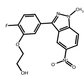 Cn1nc(-c2ccc(F)c(OCCO)c2)c2cc([N+](=O)[O-])ccc21